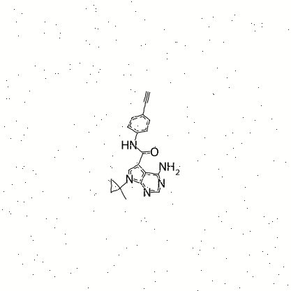 C#Cc1ccc(NC(=O)c2cn(C3(C)CC3)c3ncnc(N)c23)cc1